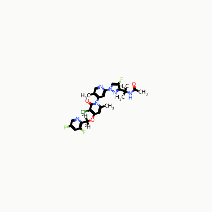 [2H]C([2H])(Oc1cc(C)n(-c2cc(-n3cc(F)c(C(C)(C)NC(C)=O)n3)ncc2C)c(=O)c1Cl)c1ncc(F)cc1F